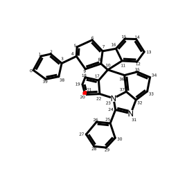 c1ccc(-c2ccc3c(c2)C2(c4ccccc4-3)c3ccccc3-n3c(-c4ccccc4)nc4cccc2c43)cc1